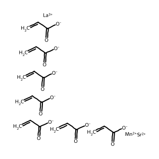 C=CC(=O)[O-].C=CC(=O)[O-].C=CC(=O)[O-].C=CC(=O)[O-].C=CC(=O)[O-].C=CC(=O)[O-].C=CC(=O)[O-].[La+3].[Mn+2].[Sr+2]